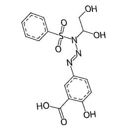 O=C(O)c1cc(N=NN(C(O)CO)S(=O)(=O)c2ccccc2)ccc1O